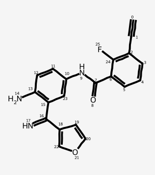 C#Cc1cccc(C(=O)Nc2ccc(N)c(C(=N)c3ccoc3)c2)c1F